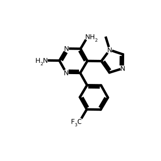 Cn1cncc1-c1c(N)nc(N)nc1-c1cccc(C(F)(F)F)c1